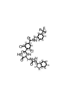 O=C(NCC(NC(=O)c1c(Cl)cc(C(=O)NCc2cccc(C(F)(F)F)c2)cc1Cl)C(=O)O)NC1CCc2ccccc21